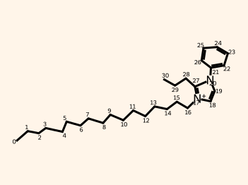 CCCCCCCCCCCCCCCCC[n+]1ccn(-c2ccccc2)c1CCC